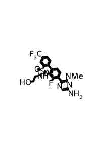 CNc1nc(N)cnc1-c1ccc(-c2ccc(C(F)(F)F)cc2S(=O)(=O)NCCO)cc1F